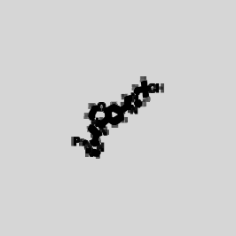 CC(C)n1ncnc1-c1cn2c(n1)-c1ccc(-c3cn(CC(C)(C)O)cn3)cc1OCC2